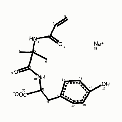 C=CC(=O)NC(C)(C)C(=O)NC(Cc1ccc(O)cc1)C(=O)[O-].[Na+]